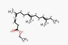 CCOC(=O)CC=C=C(C)CC/C=C(\C)CC/C=C(\C)CC